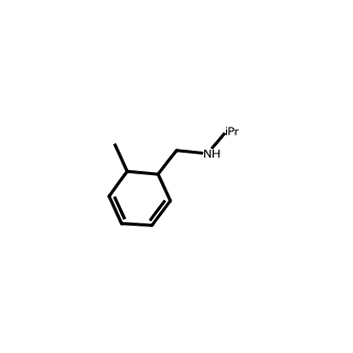 CC(C)NCC1C=CC=CC1C